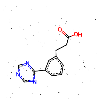 O=C(O)CCc1cccc(-c2ncncn2)c1